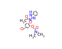 CCN(CC)C(=O)COc1cc(C=O)ccc1ON(C(C)=O)c1nc2ccccc2[nH]1